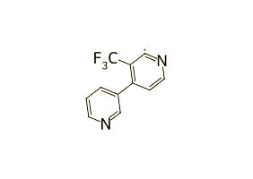 FC(F)(F)c1[c]nccc1-c1cccnc1